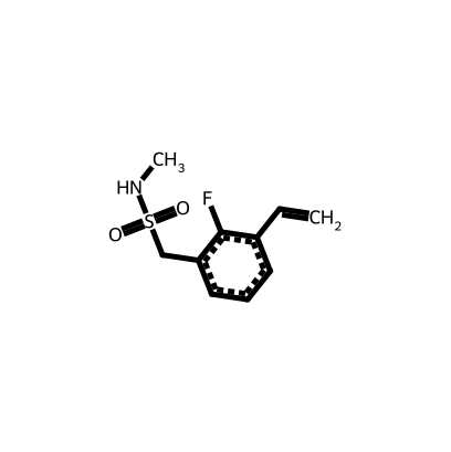 C=Cc1cccc(CS(=O)(=O)NC)c1F